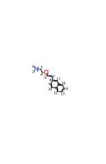 CN(C)CCO/C=C/c1ccc2ccccc2c1